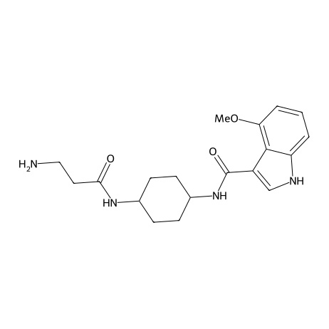 COc1cccc2[nH]cc(C(=O)NC3CCC(NC(=O)CCN)CC3)c12